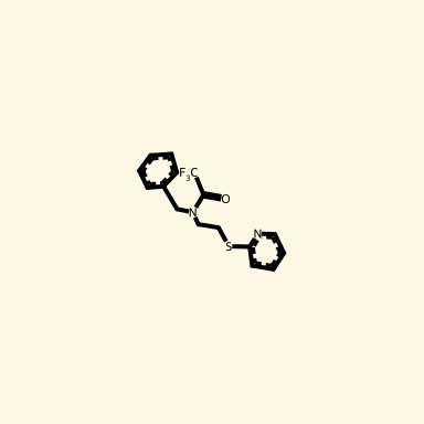 O=C(N(CCSc1ccccn1)Cc1ccccc1)C(F)(F)F